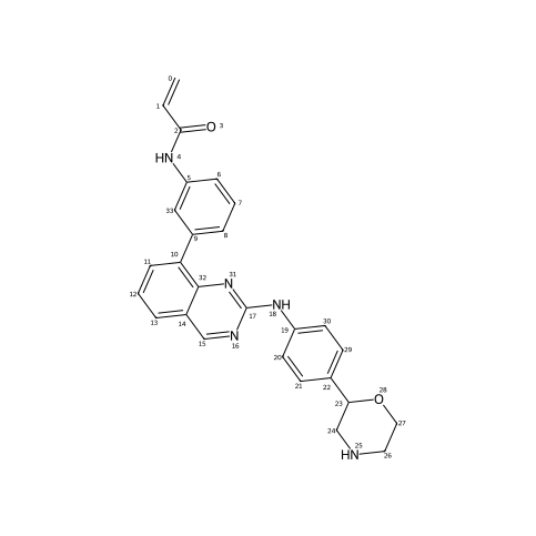 C=CC(=O)Nc1cccc(-c2cccc3cnc(Nc4ccc(C5CNCCO5)cc4)nc23)c1